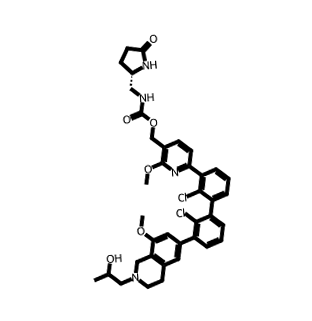 COc1cc(-c2cccc(-c3cccc(-c4ccc(COC(=O)NC[C@@H]5CCC(=O)N5)c(OC)n4)c3Cl)c2Cl)cc2c1CN(CC(C)O)CC2